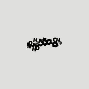 Cc1ccccc1-c1ccc2nc(N)c(CCC(=O)NCc3ncco3)cc2c1